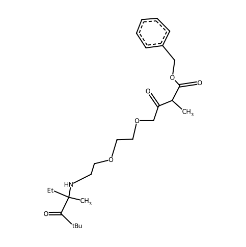 CCC(C)(NCCOCCOCC(=O)C(C)C(=O)OCc1ccccc1)C(=O)C(C)(C)C